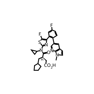 Cn1ccc2cc(-c3ccc(F)cc3-c3nc(N(C(=O)[C@@H](CC(=O)O)CC4CCCC4)C4CC4)sc3F)cnc21